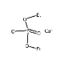 CCOP(=O)([O-])OCC.[Cu+]